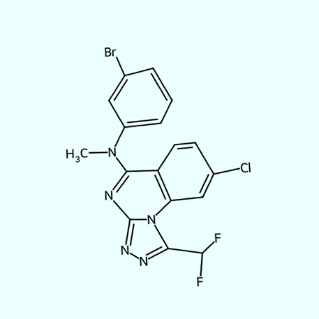 CN(c1cccc(Br)c1)c1nc2nnc(C(F)F)n2c2cc(Cl)ccc12